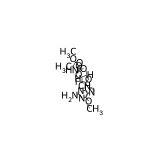 CCOC(=O)C(C)NP1(=O)OC[C@H]2O[C@@H](n3cnc4c(OCC)nc(N)nc43)[C@](C)(F)[C@@H]2O1